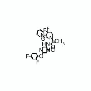 C[C@@H](C(=O)Nc1cnc(Oc2ccc(F)cc2F)cn1)N1CCC(F)(F)C([N+]2([O-])C=CC=CC2)C1.Cl